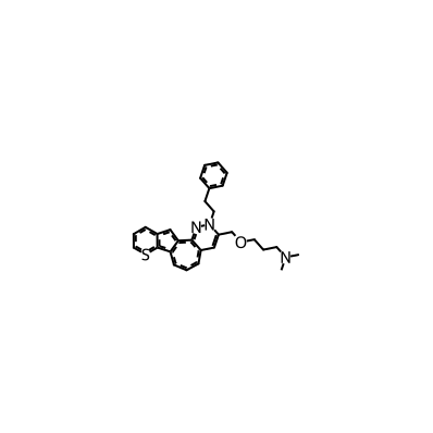 CN(C)CCCOCC1=Cc2cccc3c(cc4cccsc43)c2=NN1CCc1ccccc1